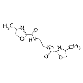 CC1COC(C(=O)NCCNC(=O)C2=NC(C)CO2)=N1